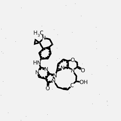 CN1CCc2ccc(Nc3ncc4c(=O)n5n(c4n3)-c3ccc4c(n3)N(CC(O)C/C=C\C5)C(=O)CO4)cc2C12CC2